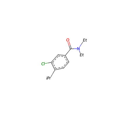 CCN(CC)C(=O)c1ccc(C(C)C)c(Cl)c1